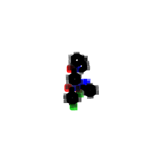 O=C(Nc1cc(C(=O)N2CCC[C@@H]3CCCC[C@H]32)ccc1NC(=O)c1ccc(Cl)cc1Cl)c1ccccc1